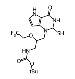 CC(C)(C)OC(=O)NCC(CN1c2cc[nH]c2C(=O)NC1S)OCC(F)(F)F